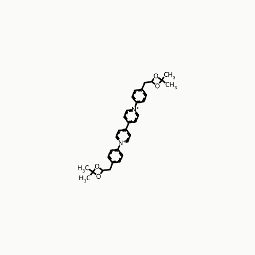 CC1(C)OC(Cc2ccc(-[n+]3ccc(-c4cc[n+](-c5ccc(CC6OC(C)(C)O6)cc5)cc4)cc3)cc2)O1